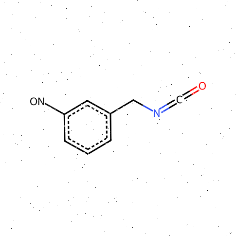 O=C=NCc1cccc(N=O)c1